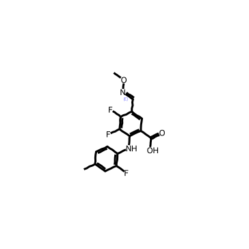 CO/N=C/c1cc(C(=O)O)c(Nc2ccc(C)cc2F)c(F)c1F